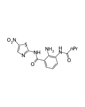 CCCC(=O)Nc1cccc(C(=O)Nc2ncc([N+](=O)[O-])s2)c1N